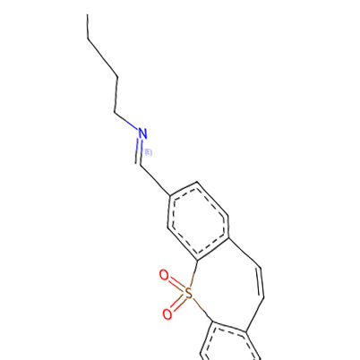 CCCC/N=C/c1ccc2c(c1)S(=O)(=O)c1ccccc1C=C2